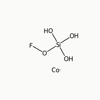 O[Si](O)(O)OF.[Co]